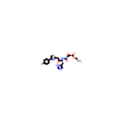 CCOC(=O)[C@@H]1O[C@H]1C(=O)N[C@@H](Cc1cnc[nH]1)C(=O)Cc1nc(-c2ccc(F)cc2)cs1